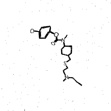 CCCN(C)CCSCC1CCC(N(C)C(=O)Oc2ccc(Cl)cc2)CC1